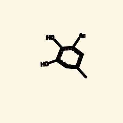 CC(=O)c1cc(C)cc(O)c1O